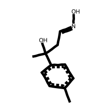 Cc1ccc(C(C)(O)CC=NO)cc1